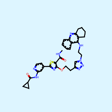 CNC(=O)c1sc(-c2ccnc(NC(=O)C3CC3)c2)nc1OCCc1cn(CCNc2c3c(nc4ccccc24)CCCC3)nn1